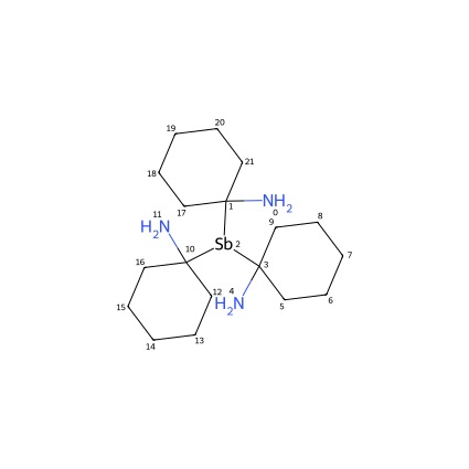 N[C]1([Sb]([C]2(N)CCCCC2)[C]2(N)CCCCC2)CCCCC1